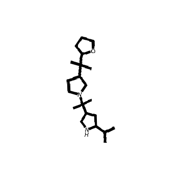 CC(C)C1CC(C(C)(C)N2CCC(C(C)(C)C3CCCO3)C2)CN1